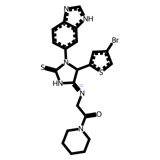 O=C(C/N=C1\NC(=S)N(c2ccc3nc[nH]c3c2)C1c1cc(Br)cs1)N1CCCCC1